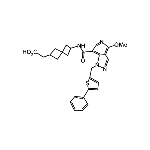 COc1ncc(C(=O)NC2CC3(CC(CC(=O)O)C3)C2)c2c1cnn2Cc1ccc(-c2ccccc2)s1